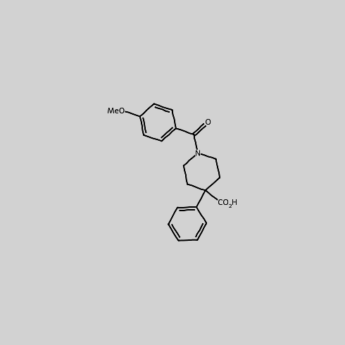 COc1ccc(C(=O)N2CCC(C(=O)O)(c3ccccc3)CC2)cc1